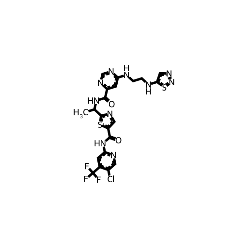 CC(NC(=O)c1cc(NCCNc2cnns2)ncn1)c1ncc(C(=O)Nc2cc(C(F)(F)F)c(Cl)cn2)s1